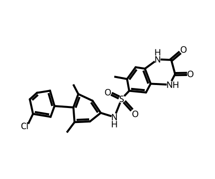 Cc1cc2[nH]c(=O)c(=O)[nH]c2cc1S(=O)(=O)Nc1cc(C)c(-c2cccc(Cl)c2)c(C)c1